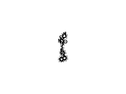 CN1CCc2c(sc3ncn(CCCCN4CCN(c5cccc6ccccc56)CC4)c(=O)c23)C1